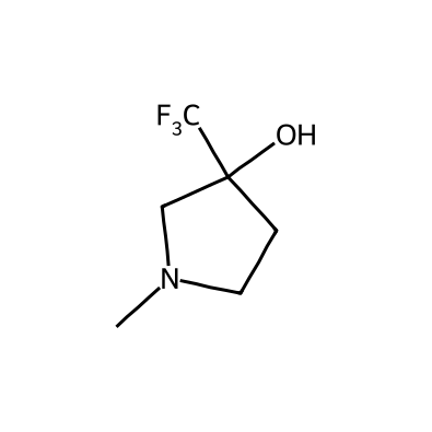 CN1CCC(O)(C(F)(F)F)C1